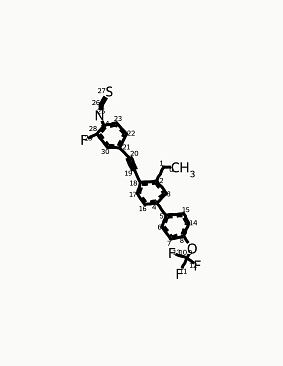 CCc1cc(-c2ccc(OC(F)(F)F)cc2)ccc1C#Cc1ccc(N=C=S)c(F)c1